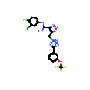 N=C(Nc1ccc(F)c(Cl)c1)c1nonc1Cn1nnc(-c2cccc(OC(F)(F)F)c2)n1